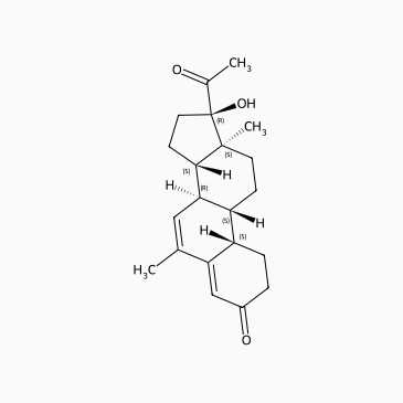 CC(=O)[C@@]1(O)CC[C@H]2[C@@H]3C=C(C)C4=CC(=O)CC[C@H]4[C@H]3CC[C@@]21C